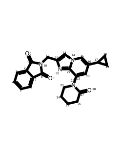 O=C1c2ccccc2C(=O)N1Cc1cn2cc(C3CC3)cc(N3CCCCC3=O)c2n1